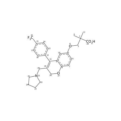 CC(C)(COc1ccc2c(c1)C(c1ccc(C(F)(F)F)cc1)=C(CN1CCCC1)CO2)C(=O)O